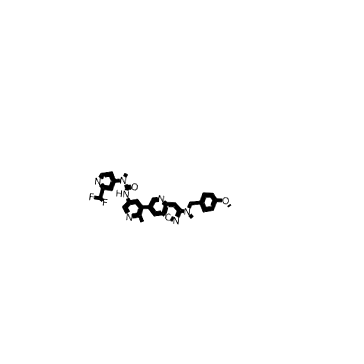 COc1ccc(CN(C)c2cc3ncc(-c4cc(NC(=O)N(C)c5ccnc(C(F)F)c5)cnc4C)cc3cn2)cc1